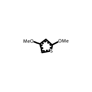 COc1[c]sc(OC)c1